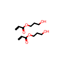 C=CC(=O)OCCCO.C=CC(=O)OCCCO